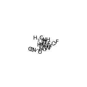 Cc1cc(Nc2nc(C(F)(F)c3ccc(F)cc3)nc3ccc(NC(=O)CCN4CCOCC4)n23)n[nH]1